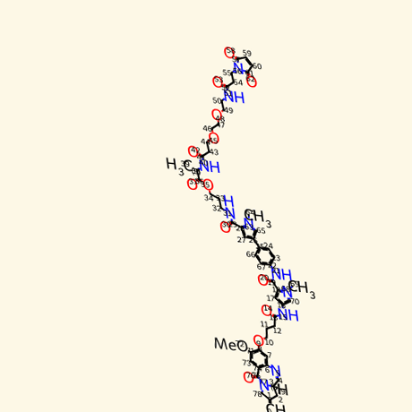 C=C1C[C@H]2C=Nc3cc(OCCCC(=O)Nc4cc(C(=O)Nc5ccc(-c6cc(C(=O)NCCCOC(=O)[C@H](C)NC(=O)CCOCCOCCNC(=O)CCN7C(=O)C=CC7=O)n(C)c6)cc5)n(C)c4)c(OC)cc3C(=O)N2C1